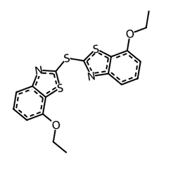 CCOc1cccc2nc(Sc3nc4cccc(OCC)c4s3)sc12